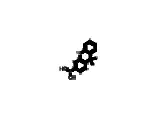 CC1(C)c2ccccc2Sc2cc(B(O)O)ccc21